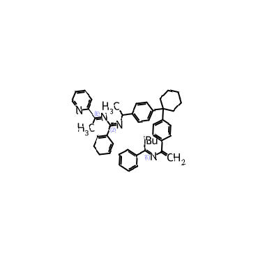 C=C(/N=C(/c1ccccc1)C(C)CC)c1ccc(C2(c3ccc(C(C)/N=C(\N=C(/C)c4ccccn4)C4=CCCC=C4)cc3)CCCCC2)cc1